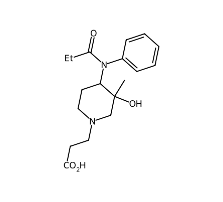 CCC(=O)N(c1ccccc1)C1CCN(CCC(=O)O)CC1(C)O